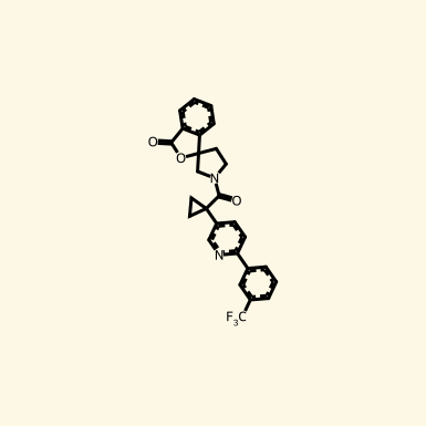 O=C1OC2(CCN(C(=O)C3(c4ccc(-c5cccc(C(F)(F)F)c5)nc4)CC3)C2)c2ccccc21